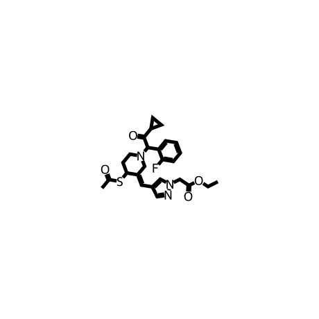 CCOC(=O)Cn1cc(/C=C2\CN(C(C(=O)C3CC3)c3ccccc3F)CCC2SC(C)=O)cn1